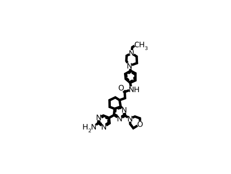 CCN1CCN(c2ccc(NC(=O)CC3CCCc4c(-c5cnc(N)nc5)nc(N5CCOCC5)nc43)cc2)CC1